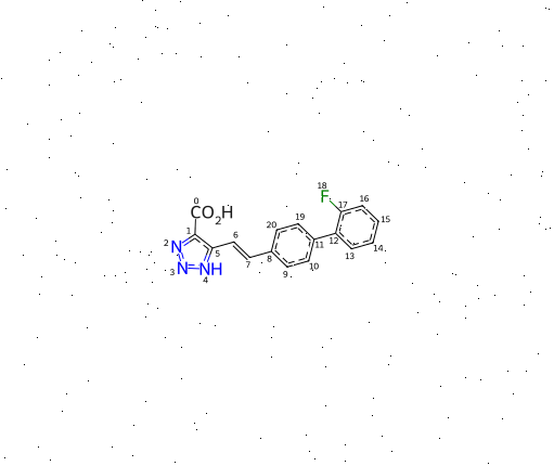 O=C(O)c1nn[nH]c1/C=C/c1ccc(-c2ccccc2F)cc1